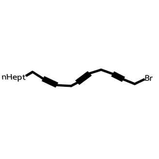 CCCCCCCCC#CCC#CCC#CCBr